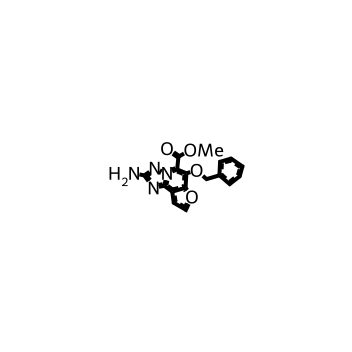 COC(=O)c1c(OCc2ccccc2)c2occc2c2nc(N)nn12